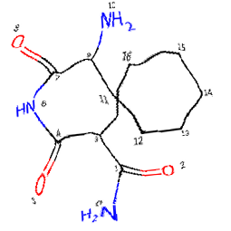 NC(=O)C1C(=O)NC(=O)C(N)C12CCCCC2